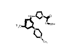 CN1CCN(c2cc(N[C@H]3CCN(C(=O)OC(C)(C)C)C3)cc(C(F)(F)F)c2)CC1